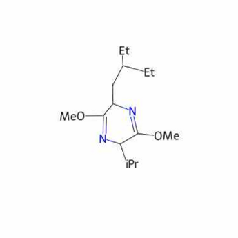 CCC(CC)CC1N=C(OC)C(C(C)C)N=C1OC